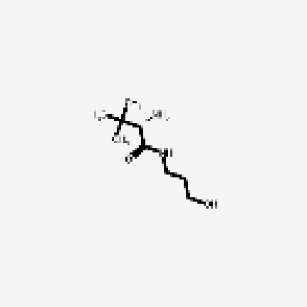 CC(C)(C)[C@H](N)C(=O)NCCCO